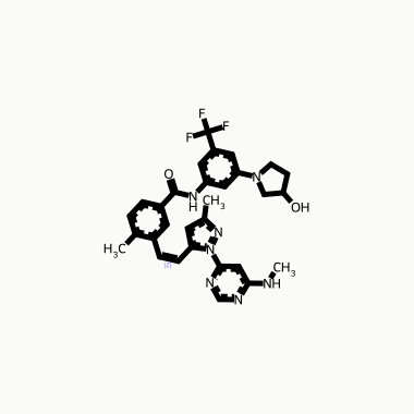 CNc1cc(-n2nc(C)cc2/C=C\c2cc(C(=O)Nc3cc(N4CCC(O)C4)cc(C(F)(F)F)c3)ccc2C)ncn1